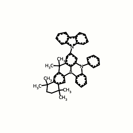 CC1(C)CCC(C)(C)c2cc3c(cc21)B1c2ccccc2N(c2ccccc2)c2cc(-n4c5ccccc5c5ccccc54)cc(c21)C3(C)C